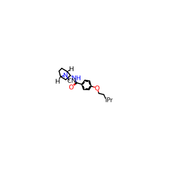 CC(C)CCOc1ccc(C(=O)N[C@@H]2C[C@@H]3CC[C@H]2N3C#N)cc1